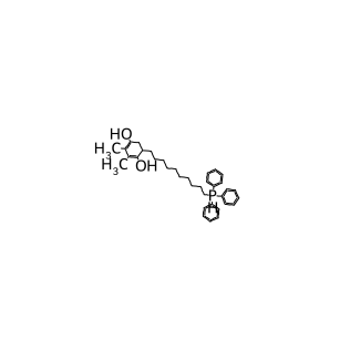 CC1=C(O)CC(CCCCCCCCCC[PH](c2ccccc2)(c2ccccc2)c2ccccc2)C(O)=C1C